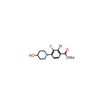 COC(=O)c1ccc(N2CCC(O)CC2)c(F)c1Br